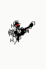 N#C/N=C(\NCCCCCCOc1ccc(Cl)cc1)Nc1cc[n+](Cc2ccc(O[C@@H]3O[C@H](C(=O)O)[C@@H](O)[C@H](O)[C@H]3O)c(NC(=O)CCN)c2)cc1.O=C(O)C(F)(F)F.O=C([O-])C(F)(F)F